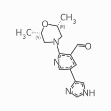 C[C@@H]1CN(c2ncc(-c3c[nH]cn3)cc2C=O)C[C@H](C)O1